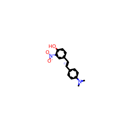 CN(C)c1ccc(/C=C/c2ccc(O)c([N+](=O)[O-])c2)cc1